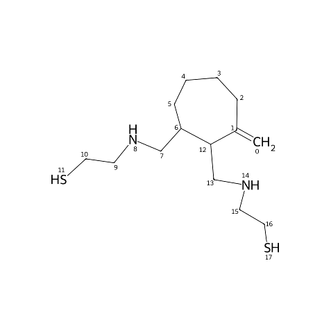 C=C1CCCCC(CNCCS)C1CNCCS